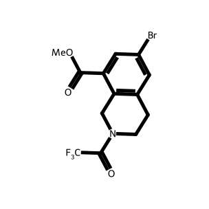 COC(=O)c1cc(Br)cc2c1CN(C(=O)C(F)(F)F)CC2